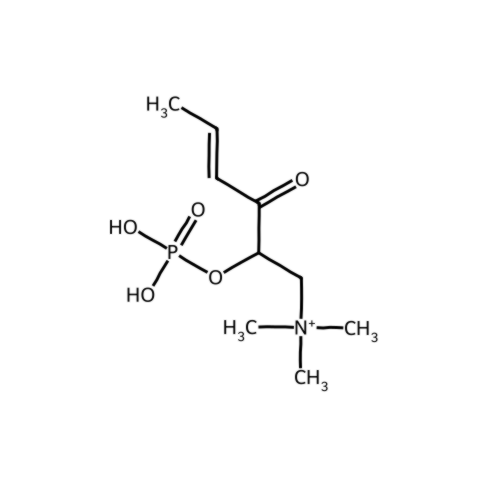 CC=CC(=O)C(C[N+](C)(C)C)OP(=O)(O)O